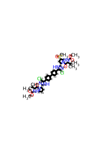 COC(=O)NC(C(=O)N1C[C@@H]([S+](C)[O-])C[C@H]1c1nc(Cl)c(-c2ccc(-c3ccc(-c4[nH]c([C@@H]5CCCN5C(=O)[C@@H](NC(=O)OC)C(C)C)nc4Cl)cc3)cc2)[nH]1)C(C)C